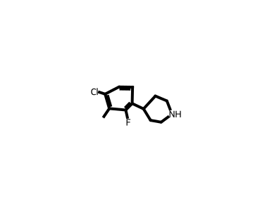 Cc1c(Cl)ccc(C2CCNCC2)c1F